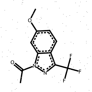 COc1ccc2c(C(F)(F)F)nn(C(C)=O)c2c1